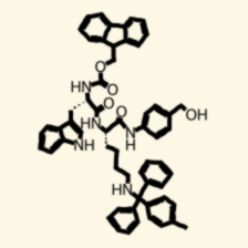 Cc1ccc(C(NCCCC[C@H](NC(=O)[C@H](Cc2c[nH]c3ccccc23)NC(=O)OCC2c3ccccc3-c3ccccc32)C(=O)Nc2ccc(CO)cc2)(c2ccccc2)c2ccccc2)cc1